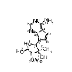 CO[C@H](CO)[C@](C)(O)[C@@H](O)n1ccc2c(N)ncnc21